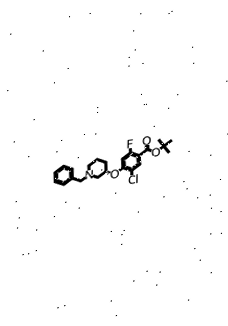 CC(C)(C)OC(=O)c1cc(Cl)c(O[C@@H]2CCCN(Cc3ccccc3)C2)cc1F